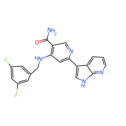 NC(=O)c1cnc(-c2c[nH]c3ncccc23)cc1NCc1cc(F)cc(F)c1